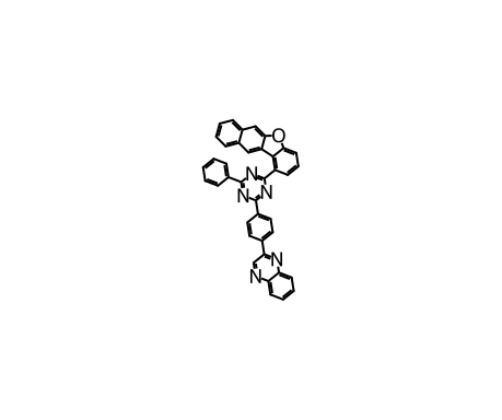 c1ccc(-c2nc(-c3ccc(-c4cnc5ccccc5n4)cc3)nc(-c3cccc4oc5cc6ccccc6cc5c34)n2)cc1